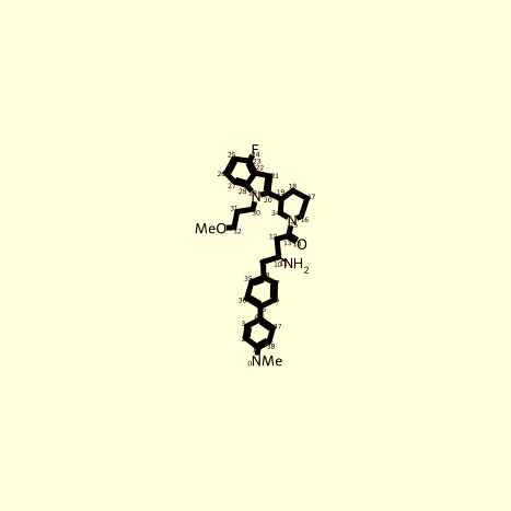 CNc1ccc(-c2ccc(C[C@@H](N)CC(=O)N3CCCC(c4cc5c(F)cccc5n4CCCOC)C3)cc2)cc1